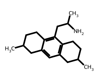 CC(N)Cc1c2c(cc3c1CCC(C)C3)CC(C)CC2